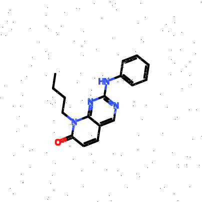 CCCCn1c(=O)ccc2cnc(Nc3ccccc3)nc21